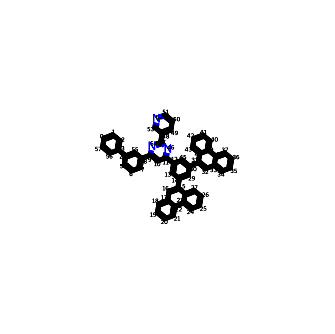 c1ccc(-c2cccc(-c3cc(-c4cc(-c5cc6ccccc6c6ccccc56)cc(-c5cc6ccccc6c6ccccc56)c4)nc(-c4cccnc4)n3)c2)cc1